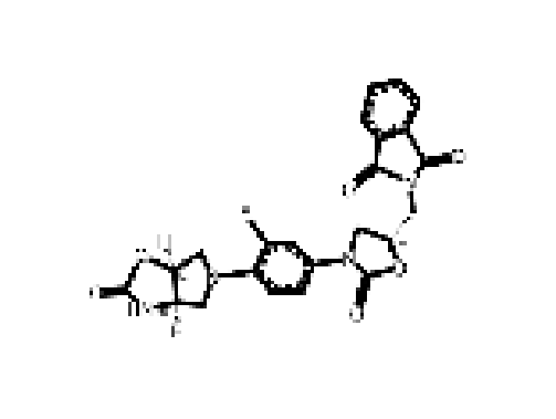 O=C1N[C@@H]2CN(c3ccc(N4C[C@H](CN5C(=O)c6ccccc6C5=O)OC4=O)cc3F)C[C@@H]2O1